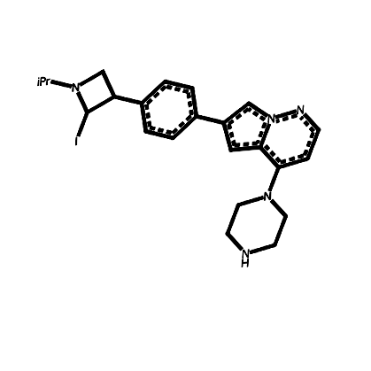 CC(C)N1CC(c2ccc(-c3cc4c(N5CCNCC5)ccnn4c3)cc2)C1I